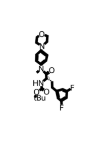 CN(C(=O)[C@H](CCc1cc(F)cc(F)c1)NC(=O)OC(C)(C)C)c1ccc(N2CCOCC2)cc1